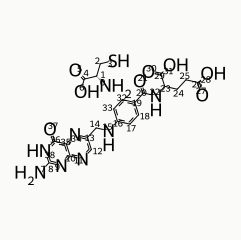 N[C@@H](CS)C(=O)O.Nc1nc2ncc(CNc3ccc(C(=O)NC(CCC(=O)O)C(=O)O)cc3)nc2c(=O)[nH]1